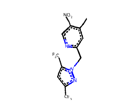 Cc1cc(Cn2nc(C(F)(F)F)cc2C(F)(F)F)ncc1[N+](=O)[O-]